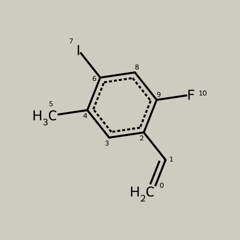 C=Cc1cc(C)c(I)cc1F